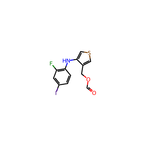 O=COCc1cscc1Nc1ccc(I)cc1F